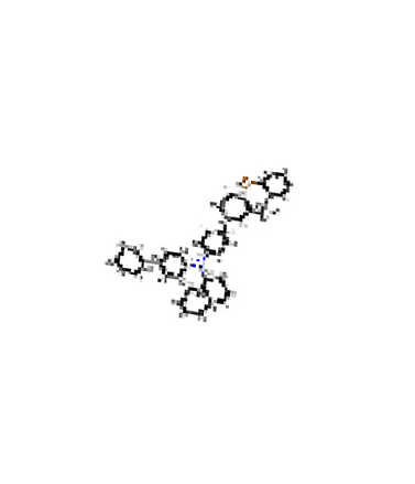 C[Si]1(C)c2ccccc2Sc2ccc(-c3ccc(N(c4ccc(-c5ccccc5)cc4)c4cccc5ccccc45)cc3)cc21